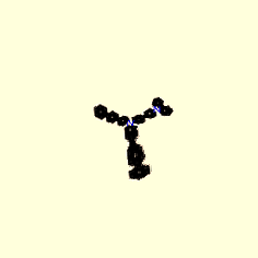 c1ccc(-c2ccc(-c3ccc(N(c4ccc(-c5ccc(-c6ccccc6)cc5)cc4)c4ccc(-c5ccc(-n6c7ccccc7c7ccccc76)cc5)cc4)cc3)cc2)cc1